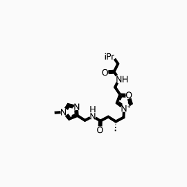 CC(C)CC(=O)NCc1c[n+](C[C@H](C)CC(=O)NCc2cn(C)cn2)co1